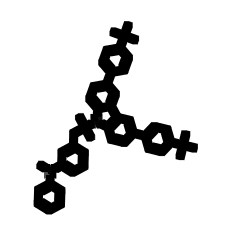 CN(c1ccccc1)c1cccc(CC(C)(C)n2c3ccc(-c4ccc(C(C)(C)C)cc4)cc3c3cc(-c4ccc(C(C)(C)C)cc4)ccc32)c1